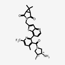 Cc1cc(C(F)(F)F)nc(-c2ccnc3cc(CN4C(=O)C5C(C4=O)C5(C)C)sc23)c1C(=O)N1C[C@@H](N)[C@@H](F)C1